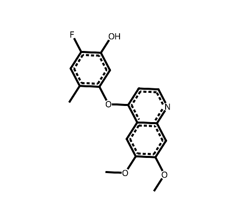 COc1cc2nccc(Oc3cc(O)c(F)cc3C)c2cc1OC